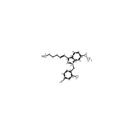 OCCC/C=C/c1nn(Cc2ccc(F)cc2Cl)c2cc(OC(F)(F)F)ccc12